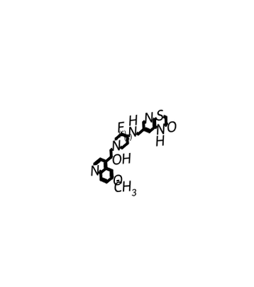 COc1ccc2nccc(C(O)CN3CC[C@@H](NCc4cnc5c(c4)NC(=O)CS5)[C@@H](F)C3)c2c1